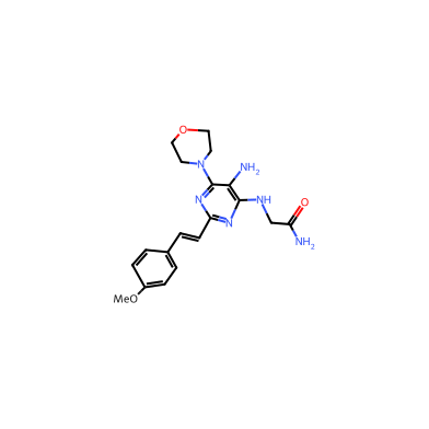 COc1ccc(C=Cc2nc(NCC(N)=O)c(N)c(N3CCOCC3)n2)cc1